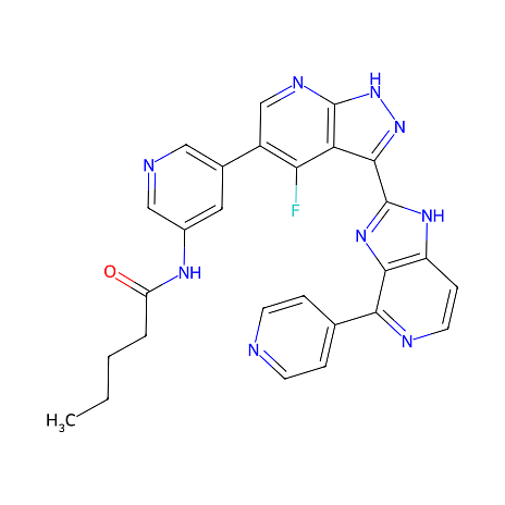 CCCCC(=O)Nc1cncc(-c2cnc3[nH]nc(-c4nc5c(-c6ccncc6)nccc5[nH]4)c3c2F)c1